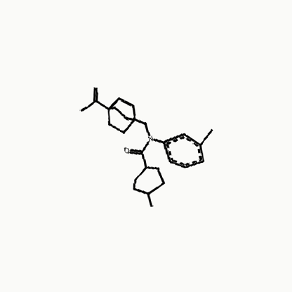 C=C(C)C12CCC(CN(C(=O)C3CCC(C)CC3)c3cccc(C)c3)(CC1)CC2